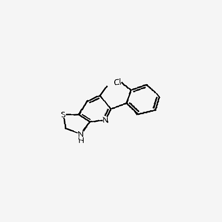 Cc1cc2c(nc1-c1ccccc1Cl)NCS2